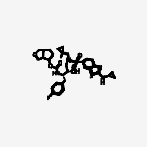 CC1(CN(C[C@@H](O)[C@H](Cc2ccc(F)cc2)NC(=O)OC2CCC3COCC32)S(=O)(=O)c2ccc3nc(NC4CC4)sc3c2)CC1